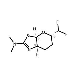 CN(C)C1=N[C@@H]2CC[C@@H](C(F)F)O[C@@H]2S1